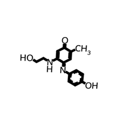 CC1=C/C(=N\c2ccc(O)cc2)C(NCCO)=CC1=O